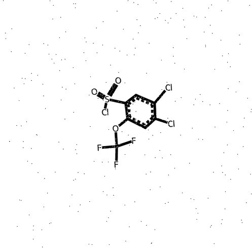 O=S(=O)(Cl)c1cc(Cl)c(Cl)cc1OC(F)(F)F